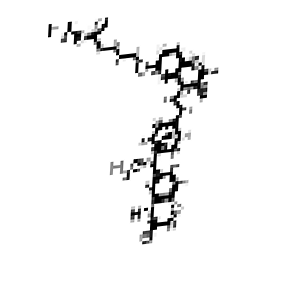 COC(=O)CCCCOc1ccc2ncc(F)c(CCC34CCC(N(C)c5ccc6c(n5)NC(=O)CO6)(CC3)CO4)c2n1